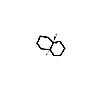 [CH]1CC[C@H]2CCCC[C@@H]2C1